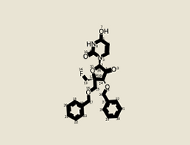 O=C1[C@H](N2C=CC(O)NC2=O)O[C@](CF)(COCc2ccccc2)[C@H]1OCc1ccccc1